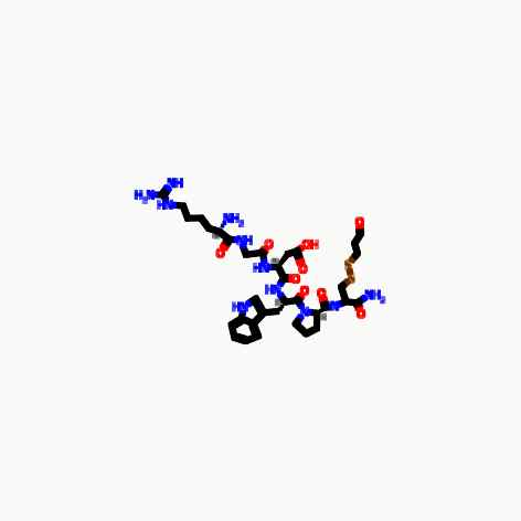 N=C(N)NCCCC[C@H](N)C(=O)NCC(=O)N[C@@H](CC(=O)O)C(=O)N[C@@H](Cc1c[nH]c2ccccc12)C(=O)N1CCC[C@H]1C(=O)NC(CSSCCC=O)C(N)=O